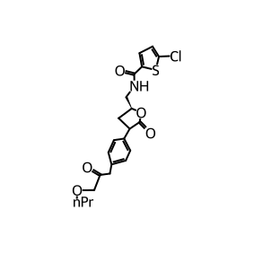 CCCOCC(=O)Cc1ccc(C2C[C@@H](CNC(=O)c3ccc(Cl)s3)OC2=O)cc1